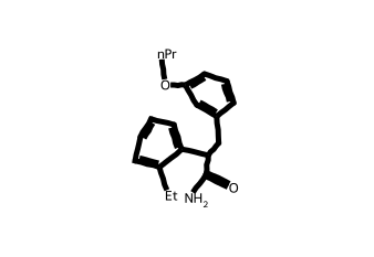 CCCOc1cccc(CC(C(N)=O)c2ccccc2CC)c1